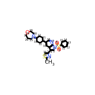 Cc1nc(-c2cn(S(=O)(=O)c3ccccc3)c3ncc(C4CCC(N5CCCOCC5)CC4)cc23)cs1